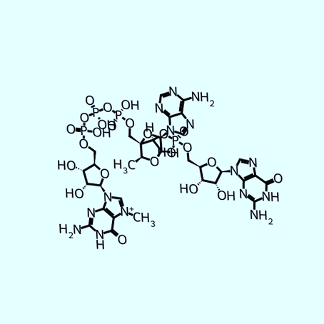 C[C@@H]1O[C@H]2[C@H](n3cnc4c(N)ncnc43)O[C@]1(COP(=O)(O)OP(=O)(O)OP(=O)(O)OC[C@H]1O[C@@H](n3c[n+](C)c4c(=O)[nH]c(N)nc43)[C@H](O)[C@@H]1O)[C@H]2OP(=O)(O)OC[C@H]1O[C@@H](n2cnc3c(=O)[nH]c(N)nc32)[C@H](O)[C@@H]1O